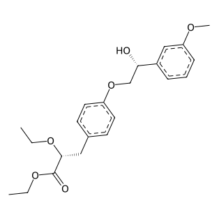 CCOC(=O)[C@@H](Cc1ccc(OC[C@H](O)c2cccc(OC)c2)cc1)OCC